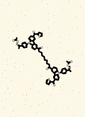 CC(=O)O/N=C(/C)c1ccc(-n2c3ccc(C(=O)CCCCCCCCC(=O)c4ccc5c(c4)c4cc(C(=O)c6cccs6)ccc4n5-c4ccc(/C(C)=N\OC(C)=O)cc4)cc3c3cc(C(=O)c4cccs4)ccc32)cc1